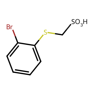 O=S(=O)(O)CSc1ccccc1Br